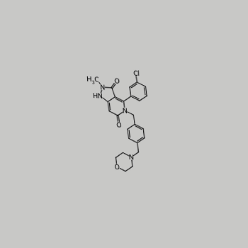 Cn1[nH]c2cc(=O)n(Cc3ccc(CN4CCOCC4)cc3)c(-c3cccc(Cl)c3)c2c1=O